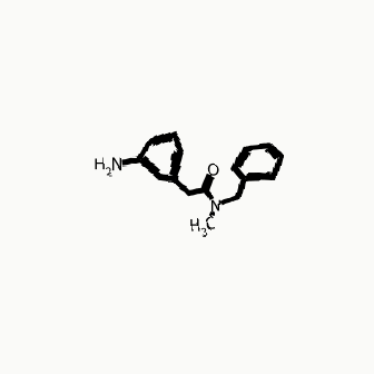 CN(Cc1ccccc1)C(=O)Cc1cccc(N)c1